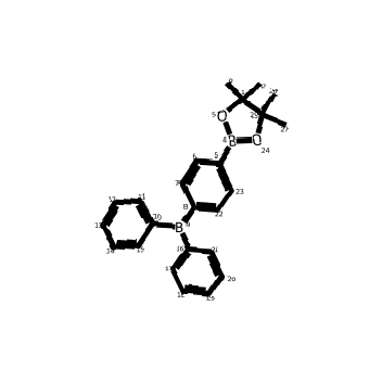 CC1(C)OB(c2ccc(B(c3ccccc3)c3ccccc3)cc2)OC1(C)C